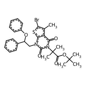 Cc1c(Br)sc2c1c(=O)n(C(C)(C)C(=O)OC(C)(C)C)c(=O)n2CC(Oc1ccccc1)c1ccccc1